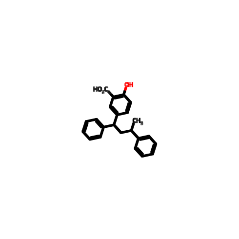 CC(CC(c1ccccc1)c1ccc(O)c(C(=O)O)c1)c1ccccc1